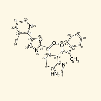 Cc1c([C@@H]2c3nc[nH]c3CCN2C(=O)c2nnc(-c3ncccc3F)o2)oc2ccccc12